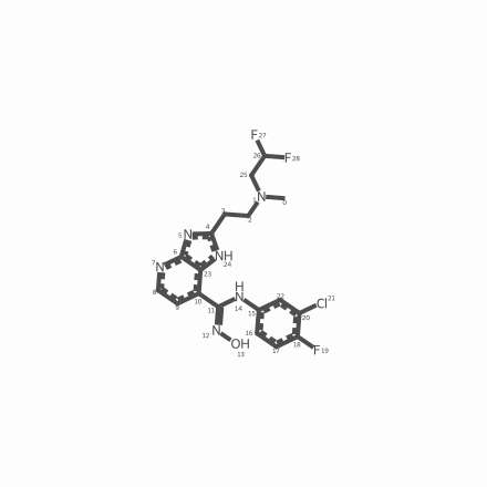 CN(CCc1nc2nccc(/C(=N/O)Nc3ccc(F)c(Cl)c3)c2[nH]1)CC(F)F